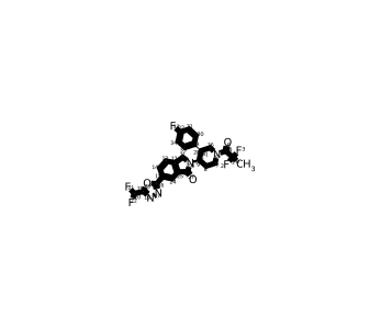 CC(F)(F)C(=O)N1CC[C@@H](N2Cc3ccc(-c4nnc(C(F)F)o4)cc3C2=O)[C@H](c2ccc(F)cc2)C1